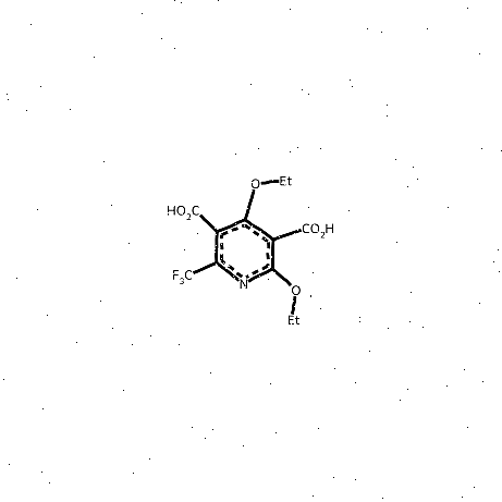 CCOc1nc(C(F)(F)F)c(C(=O)O)c(OCC)c1C(=O)O